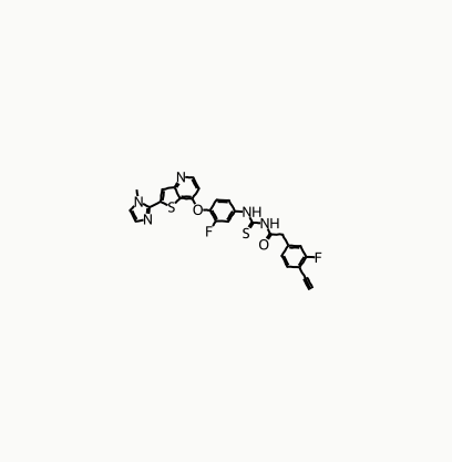 C#Cc1ccc(CC(=O)NC(=S)Nc2ccc(Oc3ccnc4cc(-c5nccn5C)sc34)c(F)c2)cc1F